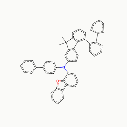 CC1(C)c2cc(N(c3ccc(-c4ccccc4)cc3)c3cccc4c3oc3ccccc34)ccc2-c2c(-c3ccccc3-c3ccccc3)cccc21